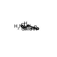 COc1cc(N)c(Cl)cc1C(=O)NC[C@@H]1CCN(CCCCCNC(=O)Nc2ccccc2)C1